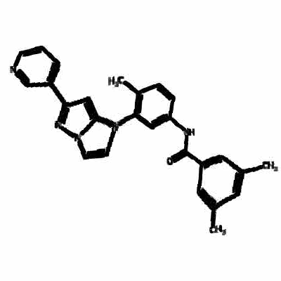 Cc1cc(C)cc(C(=O)Nc2ccc(C)c(-n3ccn4nc(-c5cccnc5)cc34)c2)c1